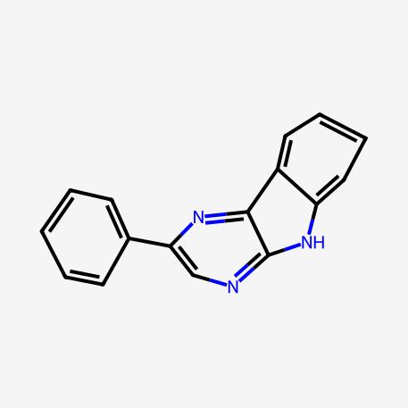 c1ccc(-c2cnc3[nH]c4ccccc4c3n2)cc1